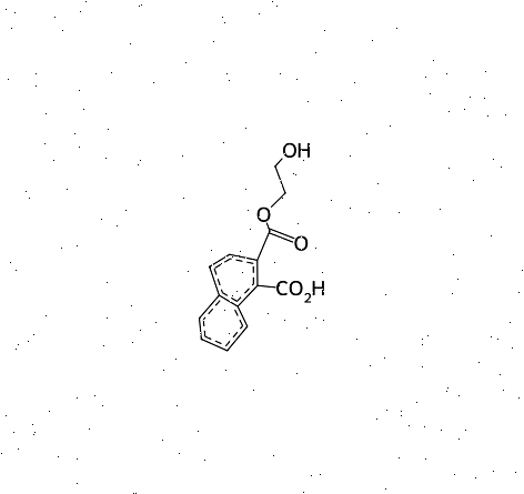 O=C(OCCO)c1ccc2ccccc2c1C(=O)O